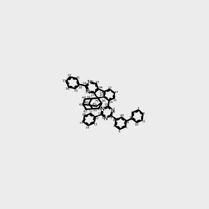 c1ccc(-c2cccc(-c3nc(-c4ccccc4)nc(-c4cccc5c4C4(c6nc(-c7ccccc7)ncc6-5)C5CC6CC(C5)CC4C6)n3)c2)cc1